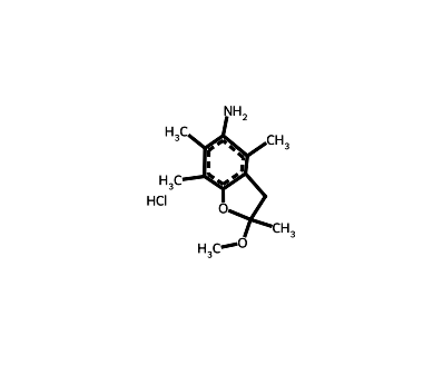 COC1(C)Cc2c(C)c(N)c(C)c(C)c2O1.Cl